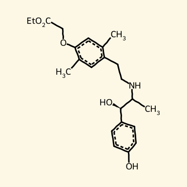 CCOC(=O)COc1cc(C)c(CCNC(C)[C@H](O)c2ccc(O)cc2)cc1C